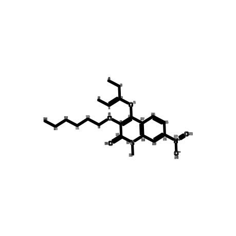 CC=C(CC)Oc1c(OCCCCCC)c(=O)n(C)c2cc([N+](=O)[O-])ccc12